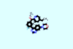 CCC1=CC=NC(C(OC)c2ccc(F)c(-c3ncnc4cc(N5CCOCC5)ccc34)c2)=C(C)C1